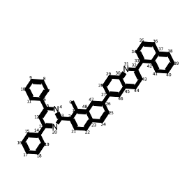 Cc1c(-c2nc(-c3ccccc3)cc(-c3ccccc3)n2)ccc2ccc(-c3ccc4nc(-c5cccc6ccccc56)ccc4c3)cc12